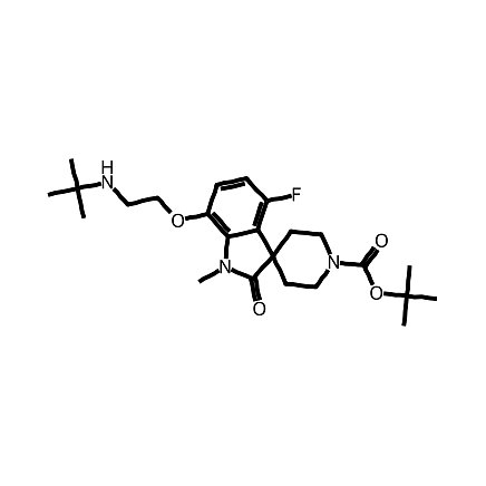 CN1C(=O)C2(CCN(C(=O)OC(C)(C)C)CC2)c2c(F)ccc(OCCNC(C)(C)C)c21